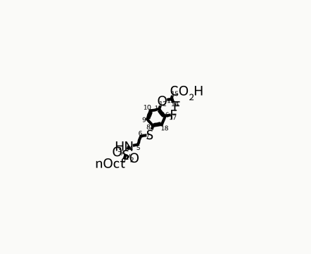 CCCCCCCCS(=O)(=O)NCCSc1ccc(OC(F)C(=O)O)c(F)c1